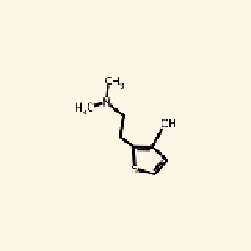 CN(C)CCc1sccc1O